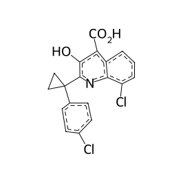 O=C(O)c1c(O)c(C2(c3ccc(Cl)cc3)CC2)nc2c(Cl)cccc12